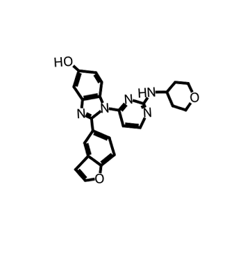 Oc1ccc2c(c1)nc(-c1ccc3occc3c1)n2-c1ccnc(NC2CCOCC2)n1